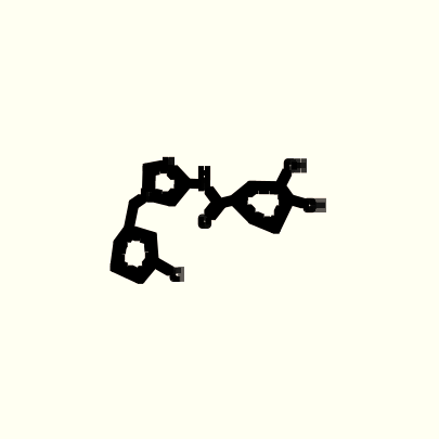 O=C(Nc1cn(Cc2cccc(Cl)c2)cn1)c1ccc(O)c(O)c1